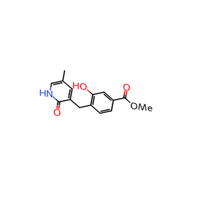 COC(=O)c1ccc(Cc2cc(C)c[nH]c2=O)c(O)c1